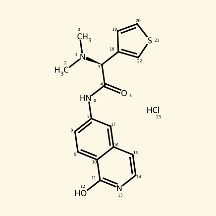 CN(C)[C@H](C(=O)Nc1ccc2c(O)nccc2c1)c1ccsc1.Cl